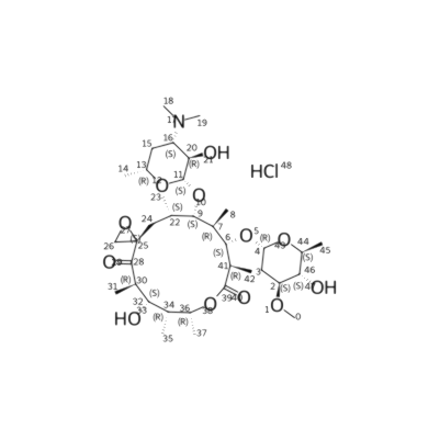 CO[C@H]1C[C@H](O[C@H]2[C@H](C)[C@@H](O[C@@H]3O[C@H](C)C[C@H](N(C)C)[C@H]3O)[C@@H](C)C[C@]3(CO3)C(=O)[C@H](C)[C@@H](O)[C@@H](C)[C@@H](C)OC(=O)[C@@H]2C)O[C@@H](C)[C@@H]1O.Cl